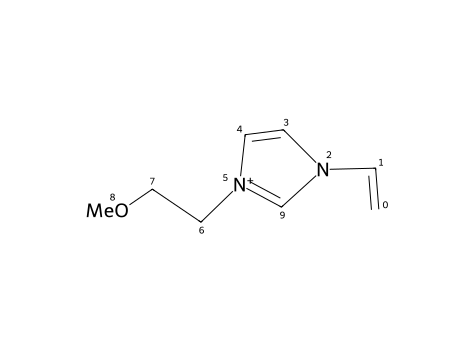 C=Cn1cc[n+](CCOC)c1